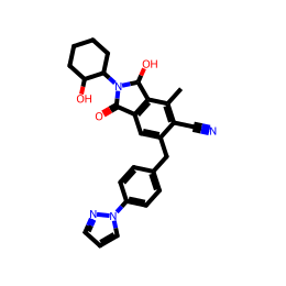 Cc1c(C#N)c(Cc2ccc(-n3cccn3)cc2)cc2c1C(O)N(C1CCCCC1O)C2=O